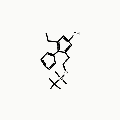 CCc1cc(O)cc(CCO[Si](C)(C)C(C)(C)C)c1-c1ccccc1